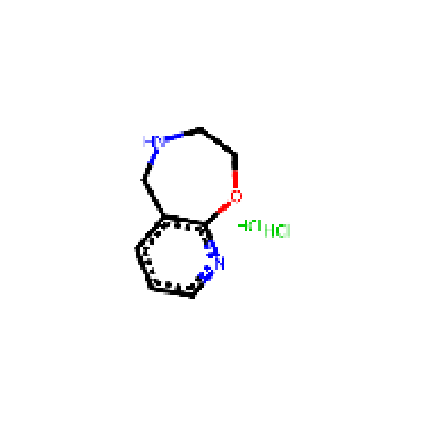 Cl.Cl.c1cnc2c(c1)CNCCO2